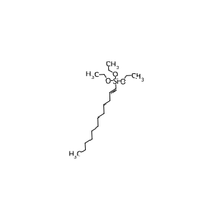 CCCCCCCCCC/C=C/[Si](OCC)(OCC)OCC